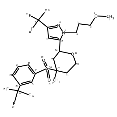 COCCCn1nc(C(F)(F)F)cc1C1CC(C)(S(=O)(=O)c2cccc(C(F)(F)F)c2)CCO1